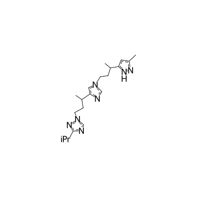 Cc1cc(C(C)CCn2cnc(C(C)CCn3cnc(C(C)C)n3)c2)[nH]n1